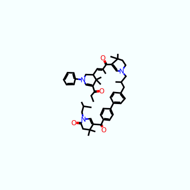 CCC(=O)C1=CN(c2ccccc2)CC(/C=C(\C)C(=O)C2=CN(CC(C)Cc3ccc(-c4ccc(C(=O)C5=CN(CC(C)C)C(=O)CC5(C)C)cc4)cc3)CCC2(C)C)C1(C)C